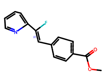 COC(=O)c1ccc(/C=C(\F)c2ccccn2)cc1